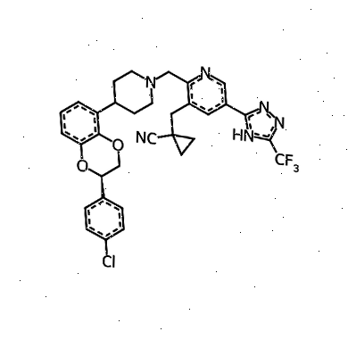 N#CC1(Cc2cc(-c3nnc(C(F)(F)F)[nH]3)cnc2CN2CCC(c3cccc4c3OC[C@@H](c3ccc(Cl)cc3)O4)CC2)CC1